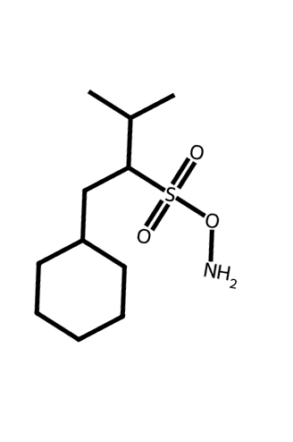 CC(C)C(CC1CCCCC1)S(=O)(=O)ON